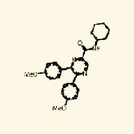 COc1ccc(-c2ncc(C(=O)NC3CCCCC3)nc2-c2ccc(OC)cc2)cc1